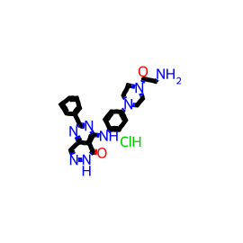 Cl.NCC(=O)N1CCN(c2ccc(Nc3nc(-c4ccccc4)nc4cn[nH]c(=O)c34)cc2)CC1